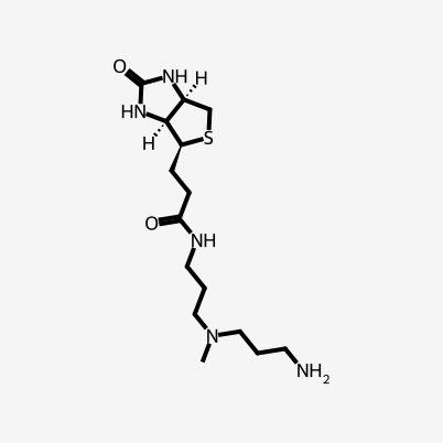 CN(CCCN)CCCNC(=O)CC[C@@H]1SC[C@@H]2NC(=O)N[C@@H]21